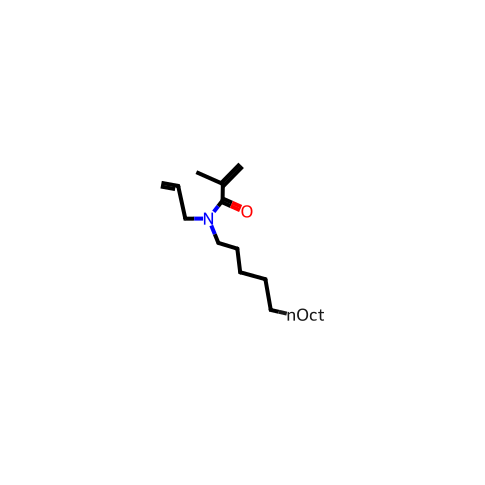 C=CCN(CCCCCCCCCCCCC)C(=O)C(=C)C